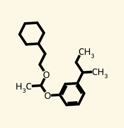 CCC(C)c1cccc(OC(C)OCCC2CCCCC2)c1